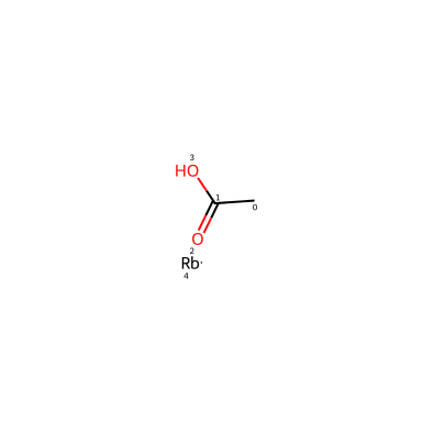 CC(=O)O.[Rb]